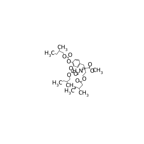 CCC(C)COC(=O)Oc1ccc(C[C@](N)(CCOC(=O)CC(C)CC)C(=O)OC)cc1OC(=O)OCC(C)CC